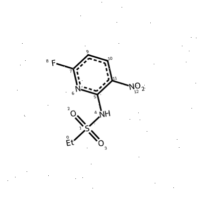 CCS(=O)(=O)Nc1nc(F)ccc1[N+](=O)[O-]